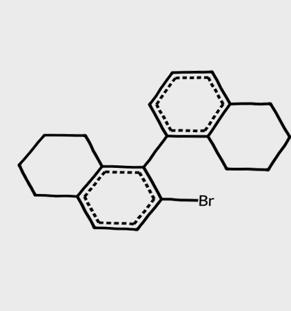 Brc1ccc2c(c1-c1cccc3c1CCCC3)CCCC2